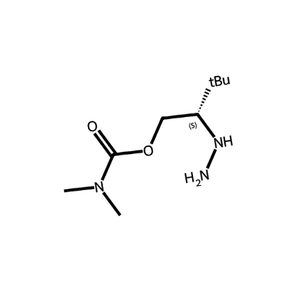 CN(C)C(=O)OC[C@@H](NN)C(C)(C)C